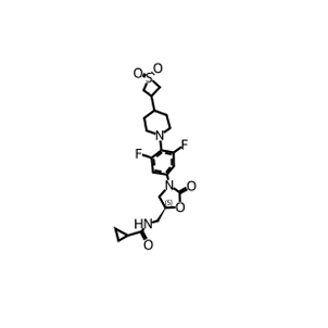 O=C(NC[C@H]1CN(c2cc(F)c(N3CCC(C4CS(=O)(=O)C4)CC3)c(F)c2)C(=O)O1)C1CC1